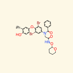 CC(C)c1cc(Oc2c(Br)cc(N(CC(=O)NOC3CCCCO3)C(=O)c3ccccc3)cc2Br)ccc1O